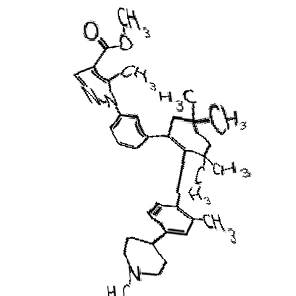 COC(=O)c1cnn(-c2cccc(C3=C(CCc4ccc(C5CCN(C)CC5)cc4C)C(C)(C)CC(C)(C)C3)c2)c1C